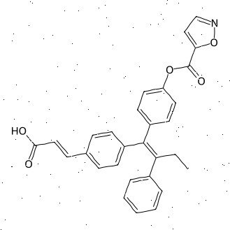 CC/C(=C(/c1ccc(/C=C/C(=O)O)cc1)c1ccc(OC(=O)c2ccno2)cc1)c1ccccc1